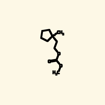 COC(=O)OCC[N+]1(C)CCCC1